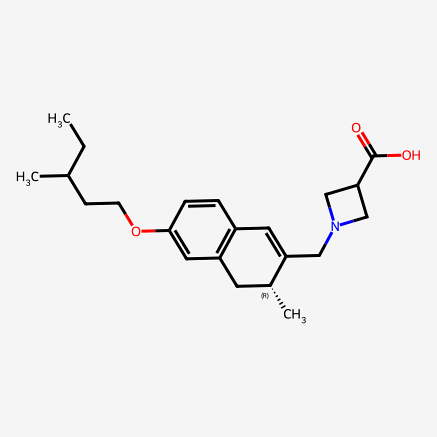 CCC(C)CCOc1ccc2c(c1)C[C@@H](C)C(CN1CC(C(=O)O)C1)=C2